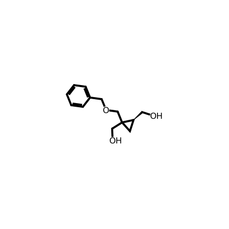 OC[C@H]1CC1(CO)COCc1ccccc1